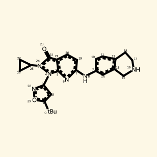 CC(C)(C)c1cc(-n2c3nc(Nc4ccc5c(c4)CNCC5)ccc3c(=O)n2C2CC2)no1